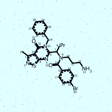 Cc1nsc2nc(C(C(C)C)N(CCCN)C(=O)c3ccc(Br)cc3)n(Cc3ccccc3)c(=O)c12